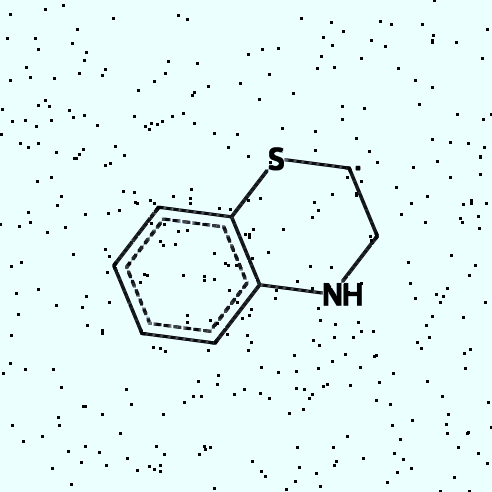 [CH]1CNc2ccccc2S1